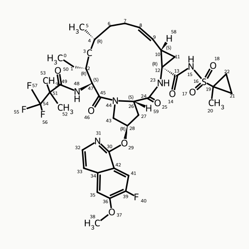 CC[C@@H]1C[C@H](C)CCC=C[C@@H]2C[C@@]2(C(=O)NS(=O)(=O)C2(C)CC2)NC(=O)[C@@H]2C[C@@H](Oc3nccc4cc(OC)c(F)cc34)CN2C(=O)[C@H]1NC(=O)C(C)(C)C(F)(F)F